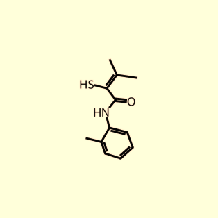 CC(C)=C(S)C(=O)Nc1ccccc1C